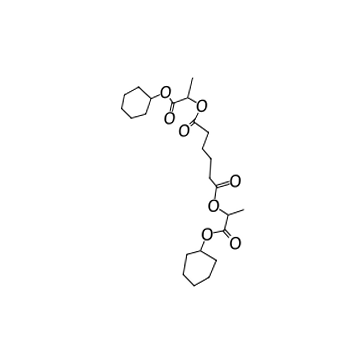 CC(OC(=O)CCCCC(=O)OC(C)C(=O)OC1CCCCC1)C(=O)OC1CCCCC1